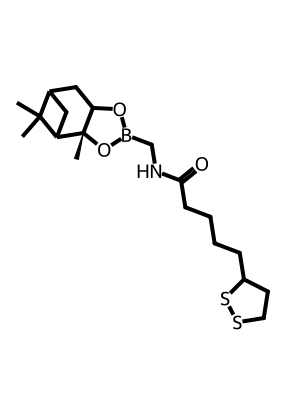 CC1(C)C2CC3OB(CNC(=O)CCCCC4CCSS4)O[C@]3(C)C1C2